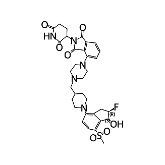 CS(=O)(=O)c1ccc(N2CCC(CN3CCN(c4cccc5c4C(=O)N(C4CCC(=O)NC4=O)C5=O)CC3)CC2)c2c1[C@H](O)[C@H](F)C2